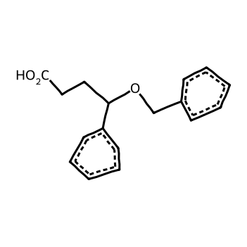 O=C(O)CCC(OCc1ccccc1)c1ccccc1